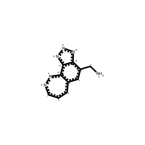 NCc1cc2cccnnc2c2nnnc12